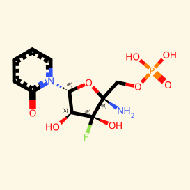 N[C@]1(COP(=O)(O)O)O[C@@H](n2ccccc2=O)[C@H](O)[C@@]1(O)F